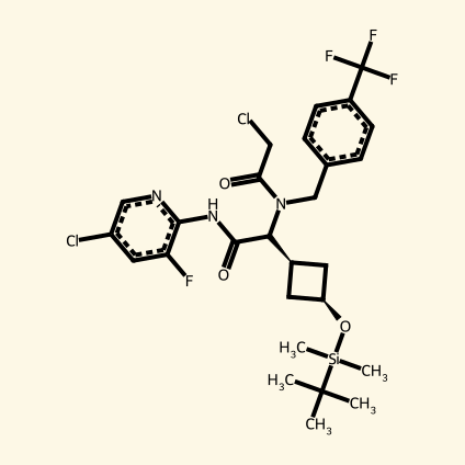 CC(C)(C)[Si](C)(C)O[C@H]1C[C@@H](C(C(=O)Nc2ncc(Cl)cc2F)N(Cc2ccc(C(F)(F)F)cc2)C(=O)CCl)C1